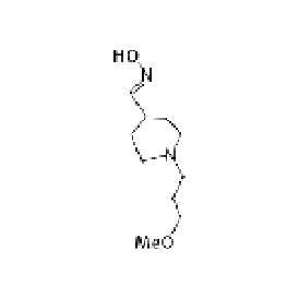 COCCCN1CCC(C=NO)CC1